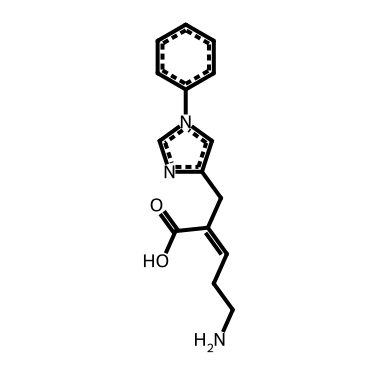 NCC/C=C(/Cc1cn(-c2ccccc2)cn1)C(=O)O